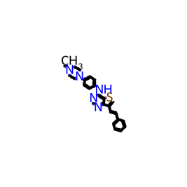 CCN1CCN(c2ccc(Nc3ncnc4c(C=Cc5ccccc5)csc34)cc2)CC1